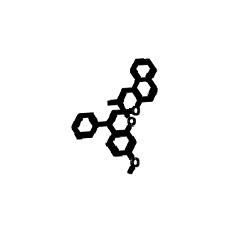 COc1ccc2c(c1)OC1(C=C2c2ccccc2)Oc2ccc3ccccc3c2C=C1C